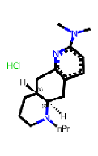 CCCN1CCC[C@@H]2Cc3nc(N(C)C)ccc3C[C@H]21.Cl